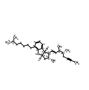 CC#CC[C@@H](C)[C@H](O)/C=C/[C@@H]1[C@H]2c3cccc(CCCCCN(C)C)c3O[C@H]2C[C@H]1O